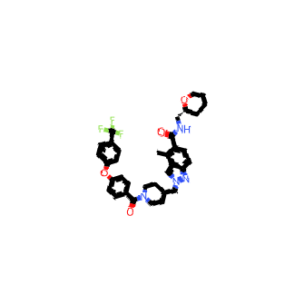 Cc1c(C(=O)NC[C@H]2CCCCO2)ccc2nn(CC3CCN(C(=O)c4ccc(Oc5ccc(C(F)(F)F)cc5)cc4)CC3)cc12